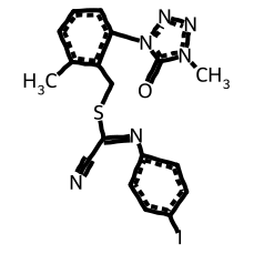 Cc1cccc(-n2nnn(C)c2=O)c1CSC(C#N)=Nc1ccc(I)cc1